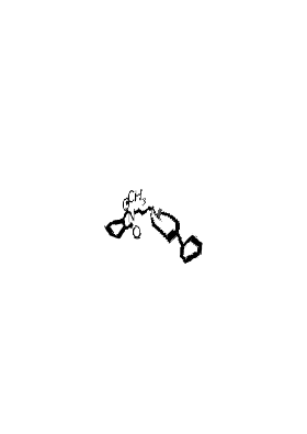 COC1c2ccccc2C(=O)N1CCCN1CC=C(c2ccccc2)CC1